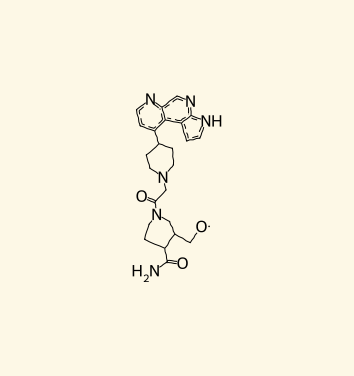 NC(=O)C1CCN(C(=O)CN2CCC(c3ccnc4cnc5[nH]ccc5c34)CC2)CC1C[O]